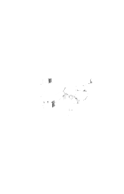 C=CC[C@@]12C=C[C@@H](C1)[C@@H](NC(=O)[C@H](O)C(C)(C)CO)[C@H]2C(=O)O